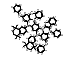 CC1(C)CCC(C)(C)c2cc(N3c4cc5c(cc4B4c6ccccc6Oc6cc(Oc7ccccc7)nc3c64)B3c4sc6ccccc6c4N(c4ccccc4)c4cc(Oc6ccccc6)nc(c43)N5c3ccc4c(c3)C(C)(C)CCC4(C)C)ccc21